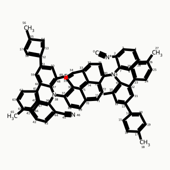 [C-]#[N+]c1ccccc1N(c1c(F)cc(-c2ccc(C)cc2)cc1-c1ccc(C)cc1)c1ccc2ccc3c(N(c4ccccc4C#N)c4c(F)cc(-c5ccc(C)cc5)cc4-c4ccc(C)cc4)ccc4ccc1c2c43